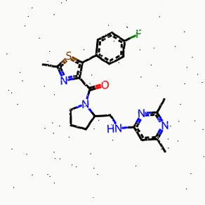 Cc1cc(NCC2CCCN2C(=O)c2nc(C)sc2-c2ccc(F)cc2)nc(C)n1